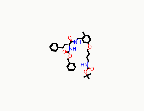 Cc1ccc(OCCCCNC(=O)OC(C)(C)C)cc1CNC(=O)[C@H](CCc1ccccc1)NC(=O)OCc1ccccc1